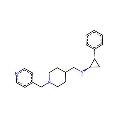 c1ccc([C@@H]2C[C@H]2NCC2CCN(Cc3ccncc3)CC2)cc1